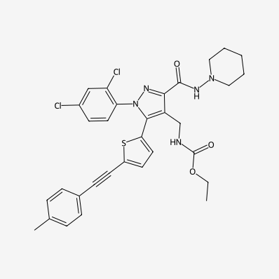 CCOC(=O)NCc1c(C(=O)NN2CCCCC2)nn(-c2ccc(Cl)cc2Cl)c1-c1ccc(C#Cc2ccc(C)cc2)s1